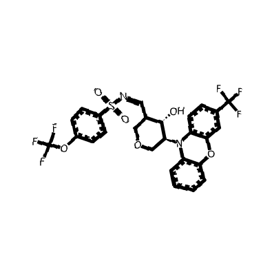 O=S(=O)(/N=C\C1COC[C@H](N2c3ccccc3Oc3cc(C(F)(F)F)ccc32)[C@H]1O)c1ccc(OC(F)(F)F)cc1